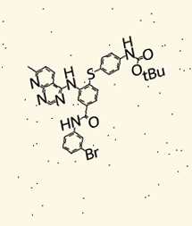 Cc1ccc2c(Nc3cc(C(=O)Nc4cccc(Br)c4)ccc3Sc3ccc(NC(=O)OC(C)(C)C)cc3)ncnc2n1